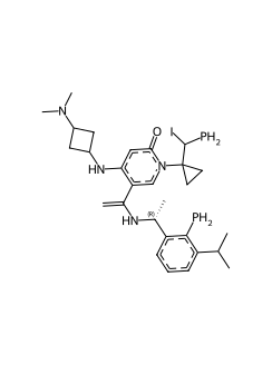 C=C(N[C@H](C)c1cccc(C(C)C)c1P)c1cn(C2(C(P)I)CC2)c(=O)cc1NC1CC(N(C)C)C1